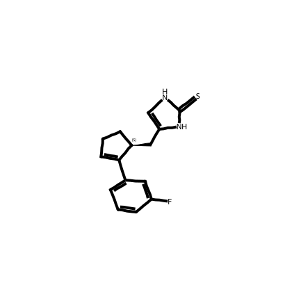 Fc1cccc(C2=CCC[C@H]2Cc2c[nH]c(=S)[nH]2)c1